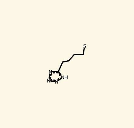 [S]CCCCc1nnn[nH]1